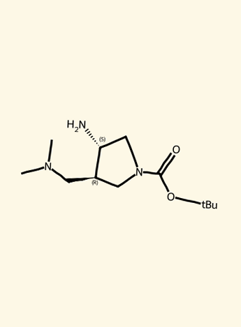 CN(C)C[C@@H]1CN(C(=O)OC(C)(C)C)C[C@H]1N